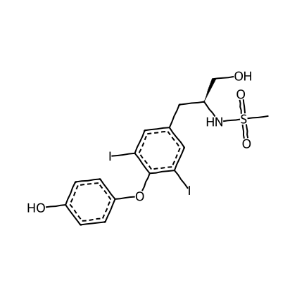 CS(=O)(=O)N[C@H](CO)Cc1cc(I)c(Oc2ccc(O)cc2)c(I)c1